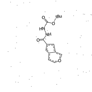 CC(C)(C)OC(=O)NNC(=O)c1cc2ccocc-2c1